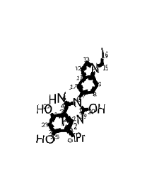 CC(C)c1cc(C(=N)N(c2ccc3c(ccn3CI)c2)C(N)O)c(O)cc1O